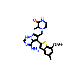 COc1cc(C)cc2cc(-c3c(CN4CCNC(=O)C4C)cn4ncnc(N)c34)sc12